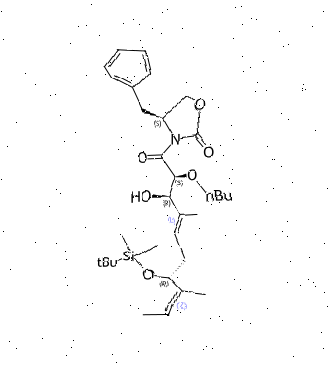 C/C=C(/C)[C@@H](C/C=C(\C)[C@@H](O)[C@H](OCCCC)C(=O)N1C(=O)OC[C@@H]1Cc1ccccc1)O[Si](C)(C)C(C)(C)C